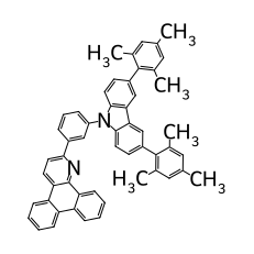 Cc1cc(C)c(-c2ccc3c(c2)c2cc(-c4c(C)cc(C)cc4C)ccc2n3-c2cccc(-c3ccc4c5ccccc5c5ccccc5c4n3)c2)c(C)c1